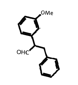 COc1[c]c(C(C=O)Cc2ccccc2)ccc1